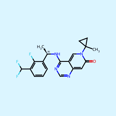 C[C@@H](Nc1ncnc2cc(=O)n(C3(C)CC3)cc12)c1cccc(C(F)F)c1F